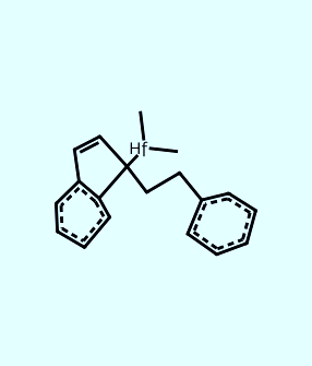 [CH3][Hf]([CH3])[C]1(CCc2ccccc2)C=Cc2ccccc21